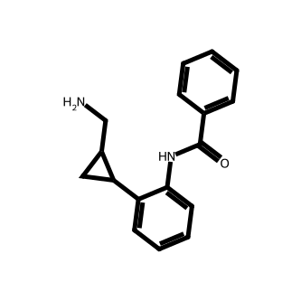 NCC1CC1c1ccccc1NC(=O)c1ccccc1